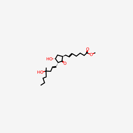 CCCCC(C)(O)CC=C[C@H]1C(=O)[C@H](CC=CCCCC(=O)OC)C[C@H]1O